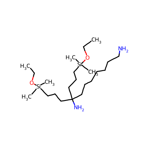 CCO[Si](C)(C)CCCC(N)(CCCCCCCN)CCC[Si](C)(C)OCC